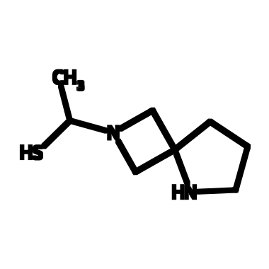 CC(S)N1CC2(CCCN2)C1